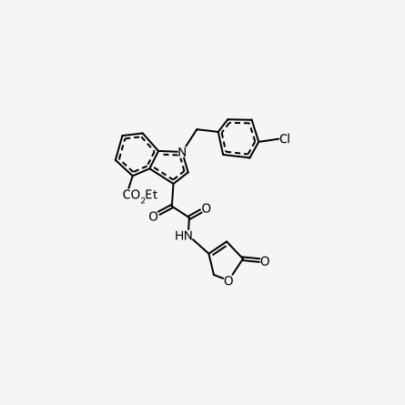 CCOC(=O)c1cccc2c1c(C(=O)C(=O)NC1=CC(=O)OC1)cn2Cc1ccc(Cl)cc1